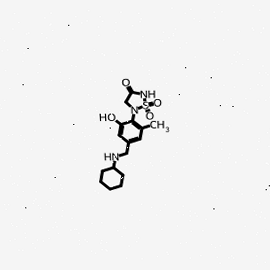 Cc1cc(CNC2CCCCC2)cc(O)c1N1CC(=O)NS1(=O)=O